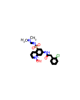 CN(C)/C=N/S(=O)(=O)c1cc(NC(=O)Cc2ccccc2Cl)cc2c1ccc[n+]2O